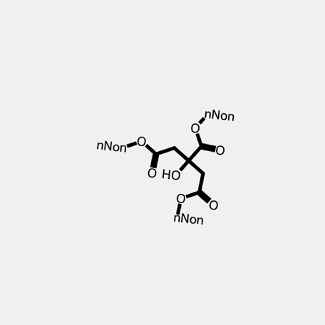 CCCCCCCCCOC(=O)CC(O)(CC(=O)OCCCCCCCCC)C(=O)OCCCCCCCCC